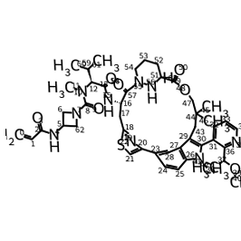 C=CC(=O)NC1CN(C(=O)N(C)[C@H](C(=O)N[C@H]2Cc3nc(cs3)-c3ccc4c(c3)c(c(-c3cccnc3[C@H](C)OC)n4C)CC(C)(C)COC(=O)[C@@H]3CCCN(N3)C2=O)C(C)C)C1